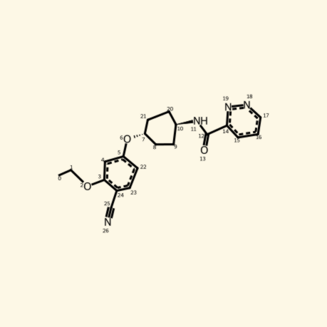 CCOc1cc(O[C@H]2CC[C@H](NC(=O)c3cccnn3)CC2)ccc1C#N